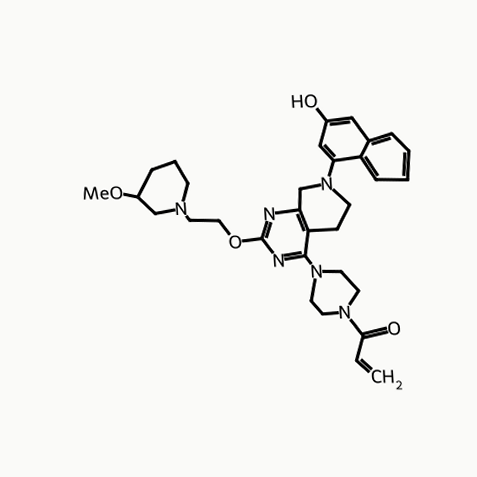 C=CC(=O)N1CCN(c2nc(OCCN3CCCC(OC)C3)nc3c2CCN(c2cc(O)cc4ccccc24)C3)CC1